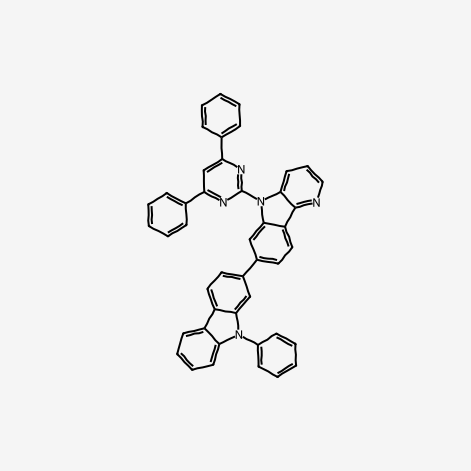 c1ccc(-c2cc(-c3ccccc3)nc(-n3c4cc(-c5ccc6c7ccccc7n(-c7ccccc7)c6c5)ccc4c4ncccc43)n2)cc1